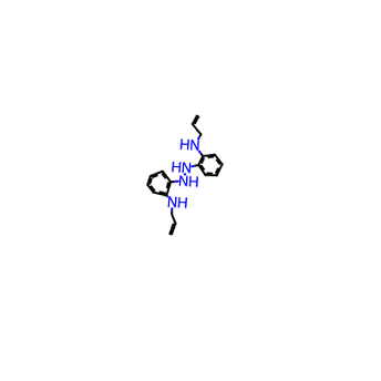 C=CCNc1ccccc1NNc1ccccc1NCC=C